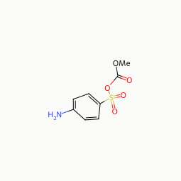 COC(=O)OS(=O)(=O)c1ccc(N)cc1